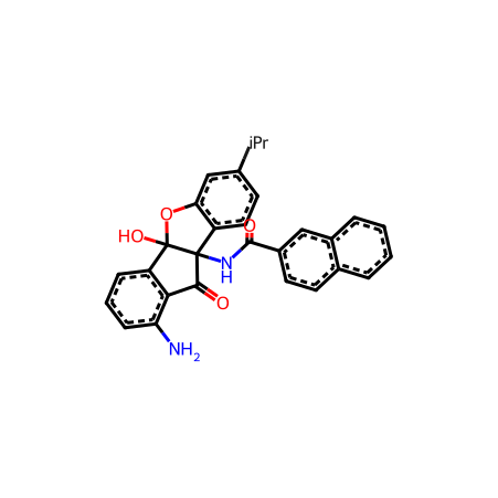 CC(C)c1ccc2c(c1)OC1(O)c3cccc(N)c3C(=O)C21NC(=O)c1ccc2ccccc2c1